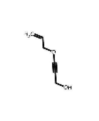 C=CCOC#CCO